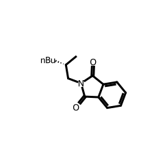 CCCC[C@H](C)CN1C(=O)c2ccccc2C1=O